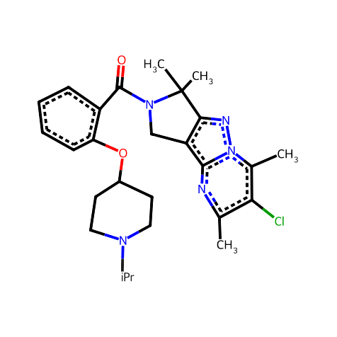 Cc1nc2c3c(nn2c(C)c1Cl)C(C)(C)N(C(=O)c1ccccc1OC1CCN(C(C)C)CC1)C3